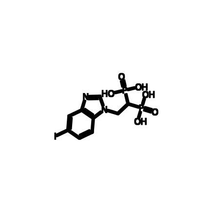 O=P(O)(O)C(Cn1cnc2cc(I)ccc21)P(=O)(O)O